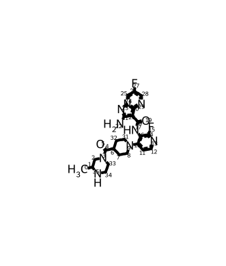 CC1CN(C(=O)C2CCN(c3ccnc(F)c3NC(=O)c3c(N)nn4cc(F)cnc34)CC2)CCN1